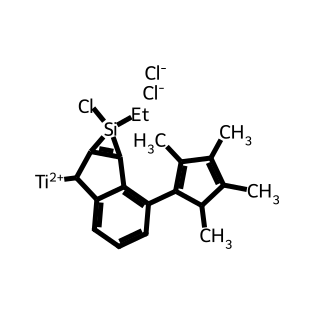 CC[Si]1(Cl)C2=C1[CH]([Ti+2])c1cccc(C3=C(C)C(C)=C(C)C3C)c12.[Cl-].[Cl-]